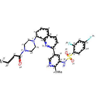 COc1ncc(-c2ccc3cccc(N4CCN(C(=O)/C=C/C(C)=O)CC4)c3n2)cc1NS(=O)(=O)c1ccc(F)cc1F